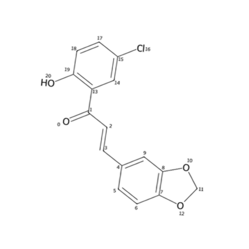 O=C(C=Cc1ccc2c(c1)OCO2)c1cc(Cl)ccc1O